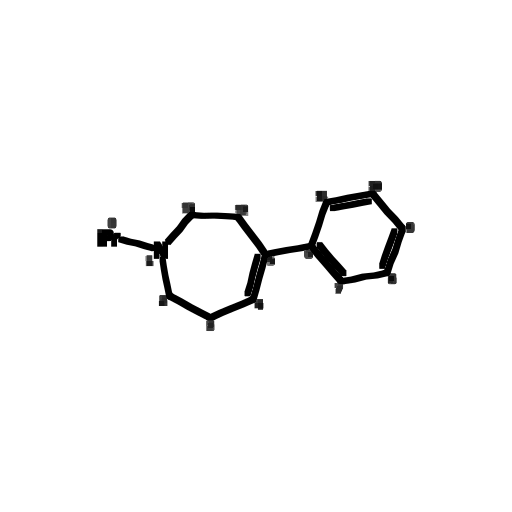 CC(C)N1CCC=C(c2ccccc2)CC1